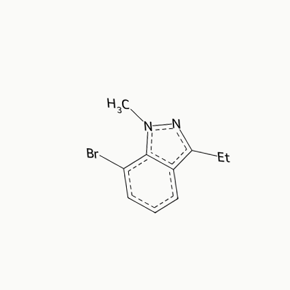 CCc1nn(C)c2c(Br)cccc12